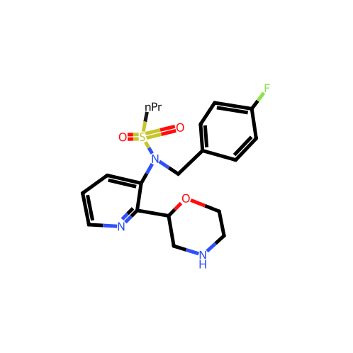 CCCS(=O)(=O)N(Cc1ccc(F)cc1)c1cccnc1C1CNCCO1